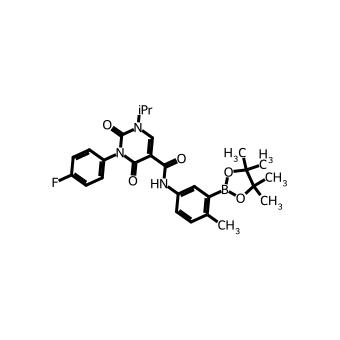 Cc1ccc(NC(=O)c2cn(C(C)C)c(=O)n(-c3ccc(F)cc3)c2=O)cc1B1OC(C)(C)C(C)(C)O1